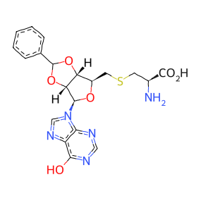 N[C@@H](CSC[C@H]1O[C@@H](n2cnc3c(O)ncnc32)[C@@H]2OC(c3ccccc3)O[C@@H]21)C(=O)O